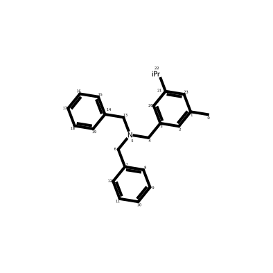 Cc1cc(CN(Cc2ccccc2)Cc2ccccc2)cc(C(C)C)c1